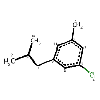 Cc1cc(Cl)cc(CC(C)C)c1